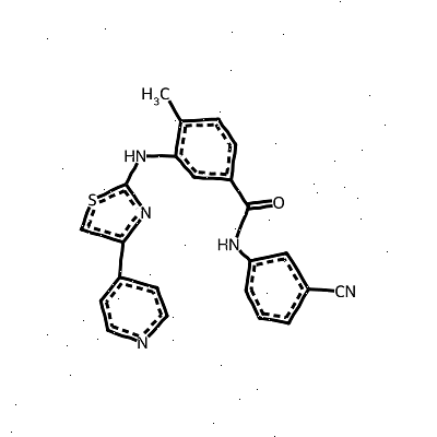 Cc1ccc(C(=O)Nc2cccc(C#N)c2)cc1Nc1nc(-c2ccncc2)cs1